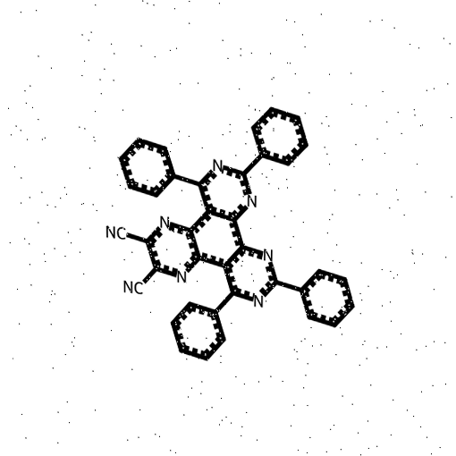 N#Cc1nc2c(nc1C#N)c1c(-c3ccccc3)nc(-c3ccccc3)nc1c1nc(-c3ccccc3)nc(-c3ccccc3)c12